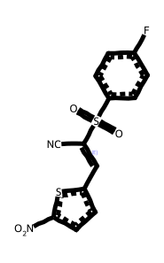 N#C/C(=C\c1ccc([N+](=O)[O-])s1)S(=O)(=O)c1ccc(F)cc1